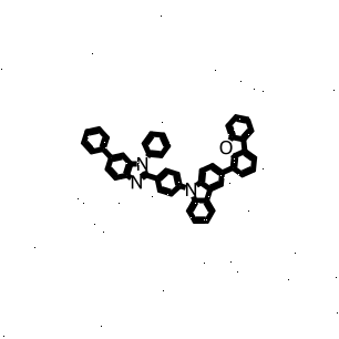 c1ccc(-c2ccc3nc(-c4ccc(-n5c6ccccc6c6cc(-c7cccc8c7oc7ccccc78)ccc65)cc4)n(-c4ccccc4)c3c2)cc1